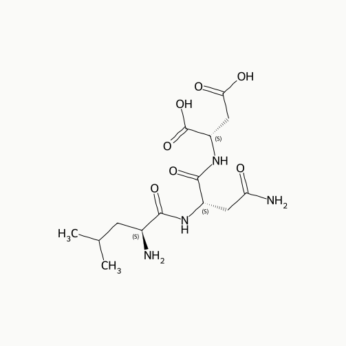 CC(C)C[C@H](N)C(=O)N[C@@H](CC(N)=O)C(=O)N[C@@H](CC(=O)O)C(=O)O